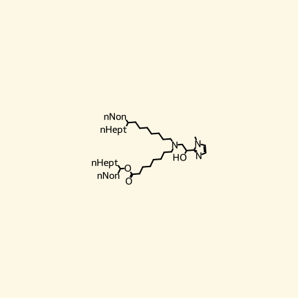 CCCCCCCCCC(CCCCCCC)CCCCCCCN(CCCCCCCC(=O)OC(CCCCCCC)CCCCCCCCC)CC(O)c1nccn1C